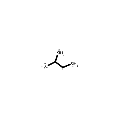 CC([SiH3])C[SiH3]